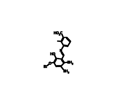 Bc1cc(OCC)c(O)c(/C=N/c2cccc(C(=O)O)c2C)c1B